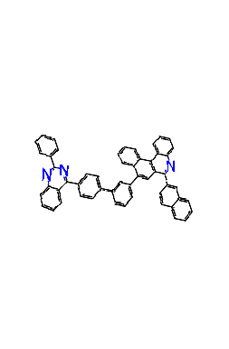 c1ccc(-c2nc(-c3ccc(-c4cccc(-c5cc6c(-c7ccc8ccccc8c7)nc7ccccc7c6c6ccccc56)c4)cc3)c3ccccc3n2)cc1